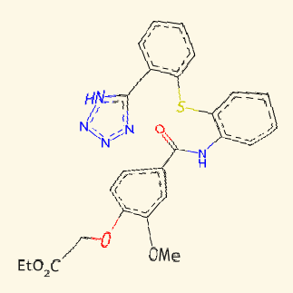 CCOC(=O)COc1ccc(C(=O)Nc2ccccc2Sc2ccccc2-c2nnn[nH]2)cc1OC